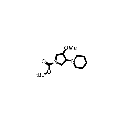 COC1CN(C(=O)OC(C)(C)C)CC1N1CCCCC1